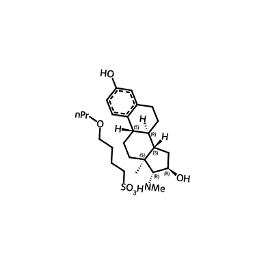 CCCOCCCCS(=O)(=O)O.CN[C@H]1[C@H](O)C[C@H]2[C@@H]3CCc4cc(O)ccc4[C@H]3CC[C@@]21C